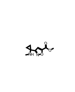 CNC1(c2cc(C(=O)OC)on2)CC1